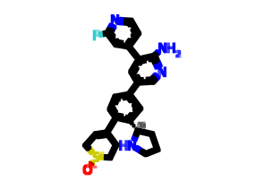 Nc1ncc(-c2ccc(C3=CC[S+]([O-])CC3)c([C@@H]3CCCN3)c2)cc1-c1ccnc(F)c1